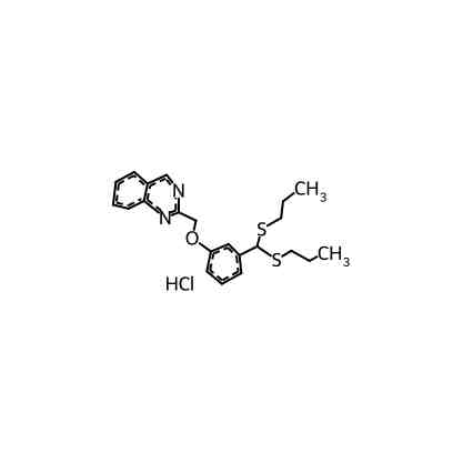 CCCSC(SCCC)c1cccc(OCc2ncc3ccccc3n2)c1.Cl